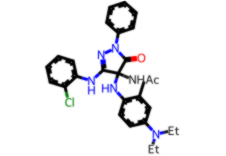 CCN(CC)c1ccc(NC2(NC(C)=O)C(=O)N(c3ccccc3)N=C2Nc2ccccc2Cl)c(C)c1